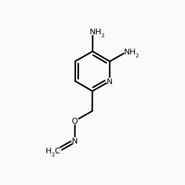 C=NOCc1ccc(N)c(N)n1